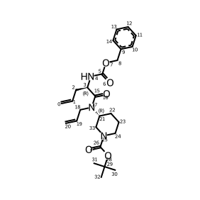 C=CC[C@@H](NC(=O)OCc1ccccc1)C(=O)N(CC=C)[C@@H]1CCCN(C(=O)OC(C)(C)C)C1